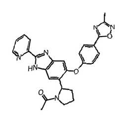 CC(=O)N1CCCC1c1cc2[nH]c(-c3ccccn3)nc2cc1Oc1ccc(-c2nc(C)no2)cc1